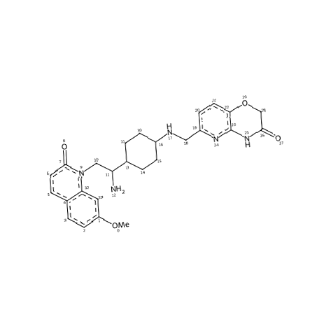 COc1ccc2ccc(=O)n(CC(N)C3CCC(NCc4ccc5c(n4)NC(=O)CO5)CC3)c2c1